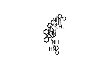 COc1nc(C2(Nc3ncc(CNC[C@@H]4CCC(=O)N4)s3)C=CC=C(c3ccccc3)C2(Cl)Cl)ccc1CNC[C@@H]1CCC(=O)N1